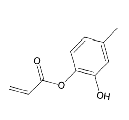 C=CC(=O)Oc1ccc(C)cc1O